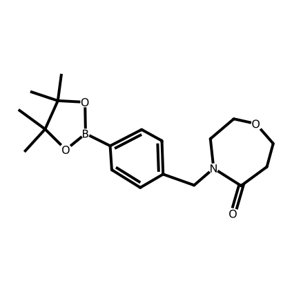 CC1(C)OB(c2ccc(CN3CCOCCC3=O)cc2)OC1(C)C